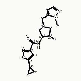 C[C@@H]1CN(Cc2ccnn2C)C[C@@H]1NC(=O)c1cc(C2CC2)on1